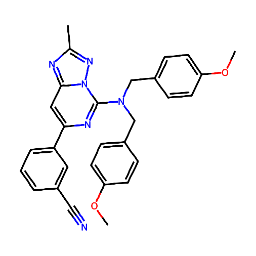 COc1ccc(CN(Cc2ccc(OC)cc2)c2nc(-c3cccc(C#N)c3)cc3nc(C)nn23)cc1